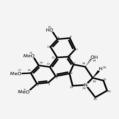 COc1cc2c3c(c4ccc(O)cc4c2c(OC)c1OC)[C@H](O)[C@@H]1CCCN1C3